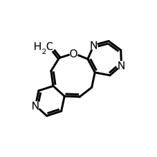 C=C1/C=c2/cncc/c2=C/CC2=C(N=C=CN=C2)O1